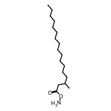 CCCCCCCCCCCCCCC(C)CC(=O)ON